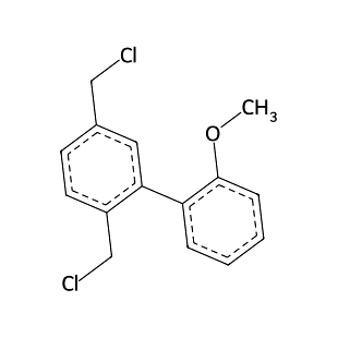 COc1ccccc1-c1cc(CCl)ccc1CCl